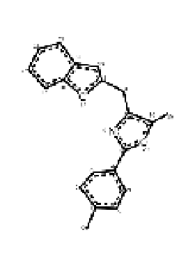 Cc1ccc(-c2nc(Cc3cc4ccccc4o3)c(C)o2)cc1